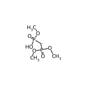 COP(=O)(O)[CH]P(=O)(OC)OC